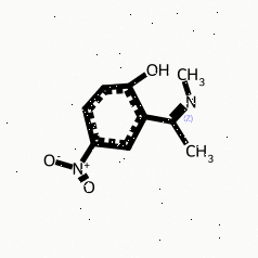 C/N=C(/C)c1cc([N+](=O)[O-])ccc1O